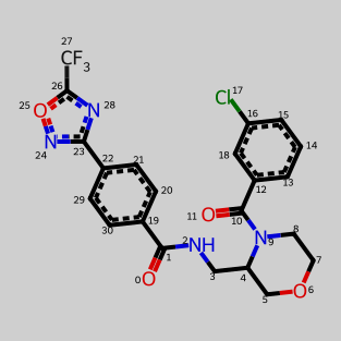 O=C(NCC1COCCN1C(=O)c1cccc(Cl)c1)c1ccc(-c2noc(C(F)(F)F)n2)cc1